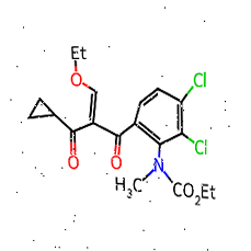 CCOC=C(C(=O)c1ccc(Cl)c(Cl)c1N(C)C(=O)OCC)C(=O)C1CC1